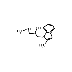 CNCC(O)Cn1c(C)cc2ccccc21